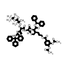 CC(=O)Oc1ccc(C(=O)OC/C=C/C2=C(C(=O)OC(c3ccccc3)c3ccccc3)N3C(=O)C(NC(=O)/C(=N\OC(C)(C)C(=O)OC(C)(C)C)c4csc(NC(c5ccccc5)(c5ccccc5)c5ccccc5)n4)[C@@H]3SC2)cc1OC(C)=O